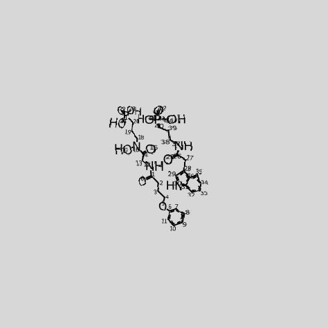 O=C(CCCOc1ccccc1)NCC(=O)N(O)CCCP(=O)(O)O.O=C(Cc1c[nH]c2ccccc12)NCCCP(=O)(O)O